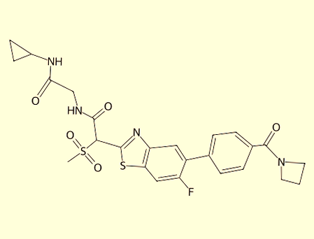 CS(=O)(=O)C(C(=O)NCC(=O)NC1CC1)c1nc2cc(-c3ccc(C(=O)N4CCC4)cc3)c(F)cc2s1